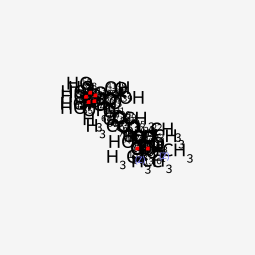 C/C=C(/C)C(=O)O[C@H]1[C@H](OC(=O)/C(C)=C\C)[C@@]2(CO)C(CC1(C)C)C1=CCC3[C@@]4(C)CC[C@H](O[C@@H]5OC(C(=O)O)[C@@H](O)C(O[C@@H]6O[C@@H](CO)C(O)C6O)C5O[C@@H]5OC(CO)[C@H](O)C(O)C5O)C(C)(C)C4CC[C@@]3(C)[C@@]1(C)[C@@H](O)[C@H]2O